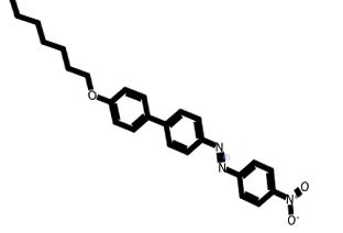 CCCCCCCOc1ccc(-c2ccc(/N=N/c3ccc([N+](=O)[O-])cc3)cc2)cc1